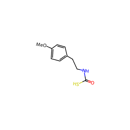 COc1ccc(CCNC(=O)S)cc1